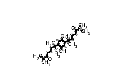 CN(C)C(=O)CCCC(C)(C)c1cc(O)c(C(C)(C)CCCC(=O)N(C)C)cc1O